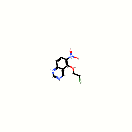 O=[N+]([O-])c1ccc2ncncc2c1OCCCl